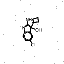 NC1=Nc2ccc(Cl)cc2C1(O)C1CCC1